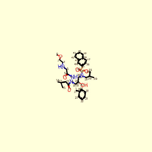 COCCNCC(=O)NN(C(=O)CC(C)C)[C@@H](Cc1ccccc1)[C@H](O)CN(CC(C)C)S(=O)(=O)c1ccc2ccccc2c1